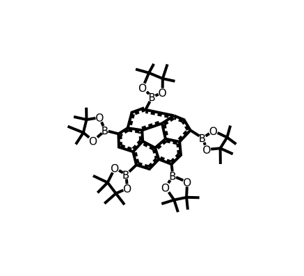 CC1(C)OB(c2cc3c(B4OC(C)(C)C(C)(C)O4)cc4c(B5OC(C)(C)C(C)(C)O5)cc5c(B6OC(C)(C)C(C)(C)O6)cc6c(B7OC(C)(C)C(C)(C)O7)cc2c2c6c5c4c32)OC1(C)C